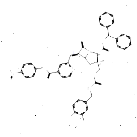 C[C@@]1(COC(=O)NCc2ccc(O)c(O)c2)CC2/C(=C\c3cc(C(=O)Oc4ccc([N+](=O)[O-])cc4)ccn3)C(=O)N2[C@H]1C(=O)OC(c1ccccc1)c1ccccc1